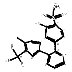 Cc1ccc(-c2cccnc2-c2ccc(S(N)(=O)=O)c(F)c2)cc1C(F)(F)F